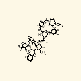 CC(C)C[C@H](NC(=O)[C@H](Cc1ccccc1)N1C(=O)[C@@H](NC(=O)[C@H](CCc2ccccc2)NC(=O)Cc2csc(CN3CCN(C)CC3)n2)CC1C)C(=O)C1(C)CO1